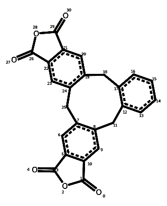 O=C1OC(=O)c2cc3c(cc21)Cc1ccccc1Cc1cc2c(cc1C3)C(=O)OC2=O